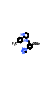 COc1ccc(-n2cnnn2)cc1CN[C@@H]1CCCN[C@@H]1c1ccc(C(F)(F)F)cc1